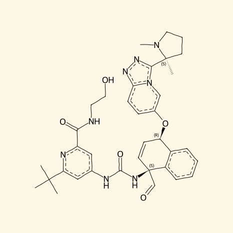 CN1CCC[C@@]1(C)c1nnc2ccc(O[C@@H]3C=C[C@](C=O)(NC(=O)Nc4cc(C(=O)NCCO)nc(C(C)(C)C)c4)c4ccccc43)cn12